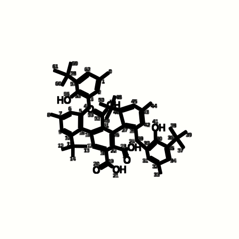 Cc1cc(Cc2cc(C)cc(C(C)(C)C)c2-c2cc(C(=O)O)c(C(=O)O)c(-c3c(Cc4cc(C)cc(C(C)(C)C)c4O)cc(C)cc3C(C)(C)C)c2C(=O)O)c(O)c(C(C)(C)C)c1